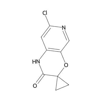 O=C1Nc2cc(Cl)ncc2OC12CC2